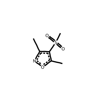 Cc1noc(C)c1S(C)(=O)=O